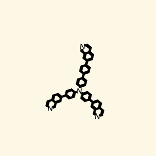 c1cc2ccc(-c3ccc(-c4ccc(N(c5ccc(-c6ccc7ccncc7c6)cc5)c5ccc(-c6ccc7ccncc7c6)cc5)cc4)cc3)cc2cn1